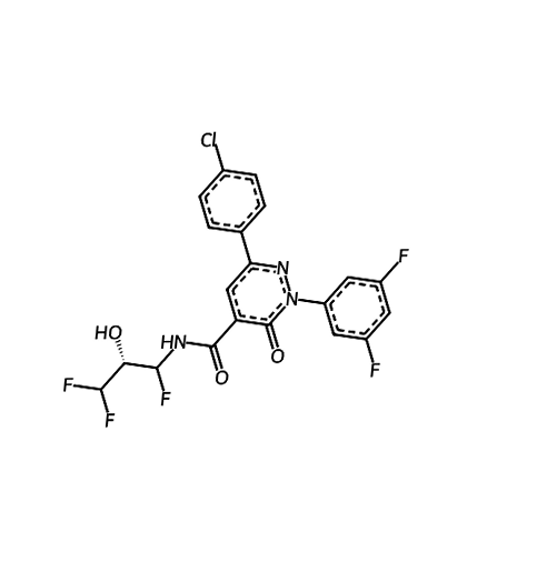 O=C(NC(F)[C@@H](O)C(F)F)c1cc(-c2ccc(Cl)cc2)nn(-c2cc(F)cc(F)c2)c1=O